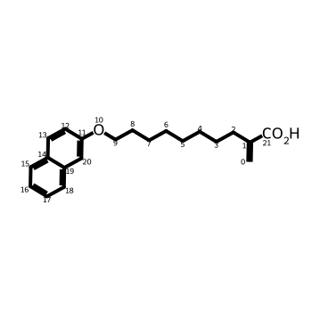 C=C(CCCCCCCCOc1ccc2ccccc2c1)C(=O)O